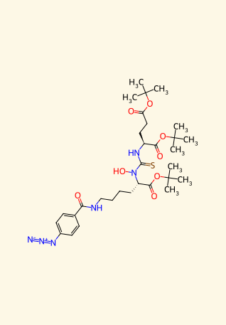 CC(C)(C)OC(=O)CC[C@H](NC(=S)N(O)[C@@H](CCCCNC(=O)c1ccc(N=[N+]=[N-])cc1)C(=O)OC(C)(C)C)C(=O)OC(C)(C)C